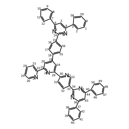 c1ccc(-c2cc(-c3ccccc3)nc(-c3ccc(-c4cc(-c5ccccn5)nc(-c5ccc(-c6nc(-c7ccccc7)cc(-c7ccccc7)n6)cn5)c4)cc3)n2)cc1